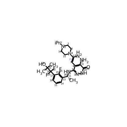 CC(C)N1CCN(/C(N)=C/c2c(N[C@H](C)c3cccc(C(F)(F)C(C)(C)O)c3F)n[nH]c(=O)c2N)CC1